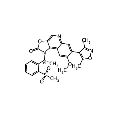 COc1cc2c(cc1-c1c(C)noc1C)ncc1oc(=O)n([C@H](C)c3ccccc3S(C)(=O)=O)c12